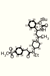 CCN(C(=O)Cc1ccc(S(C)(=O)=O)cc1)C1CCN(C(C)CC(NC(=O)OC(C)(C)C)c2ccccc2)CC1